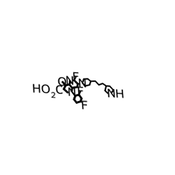 O=C(O)c1cn(-c2ccc(F)cc2F)c2cc(N3CCC(CCCC4CCNCC4)CC3)c(F)nc2c1=O